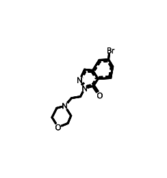 O=c1c2ccc(Br)cc2cnn1CCN1CCOCC1